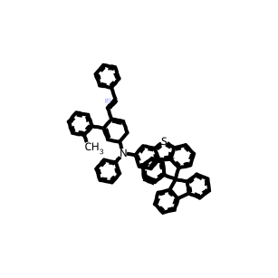 Cc1ccccc1C1=CC(N(c2ccccc2)c2ccc3c(c2)sc2cccc(C4(c5c#cccc5)c5ccccc5-c5ccccc54)c23)CC=C1/C=C/c1ccccc1